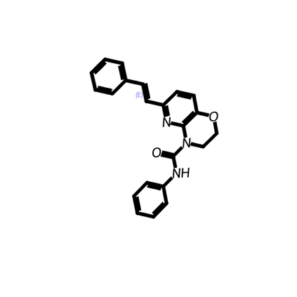 O=C(Nc1ccccc1)N1CCOc2ccc(/C=C/c3ccccc3)nc21